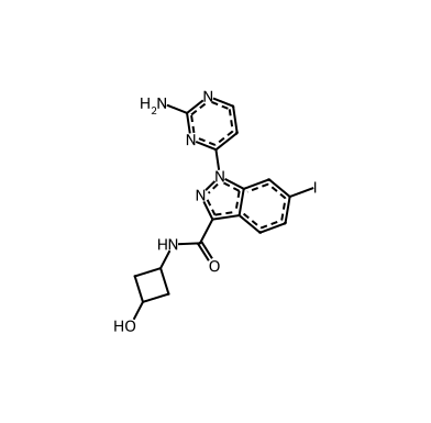 Nc1nccc(-n2nc(C(=O)NC3CC(O)C3)c3ccc(I)cc32)n1